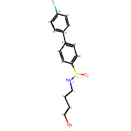 [O-][S+](NCCCCO)c1ccc(-c2ccc(F)cc2)cc1